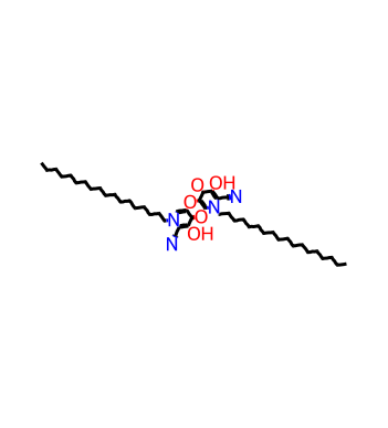 CCCCCCCCCCCCCCCCCCn1cc(Oc2cn(CCCCCCCCCCCCCCCCCC)c(C#N)c(O)c2=O)c(=O)c(O)c1C#N